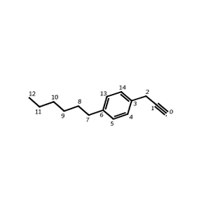 [C]#CCc1ccc(CCCCCC)cc1